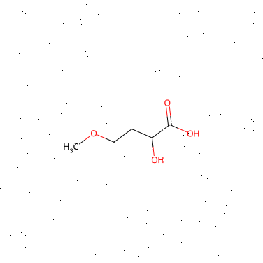 COCCC(O)C(=O)O